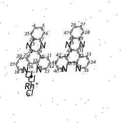 [Cl-].[Cl][Rh+][Cl].c1ccc2nc3c4cccnc4c4ncccc4c3nc2c1.c1ccc2nc3c4cccnc4c4ncccc4c3nc2c1